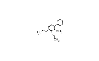 C=CCc1ccc(-c2ccccc2)c(N)c1CC=C